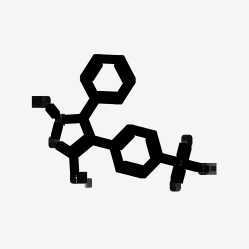 CC1=C(c2ccc(S(=O)(=O)O)cc2)C(c2ccccc2)N(O)O1